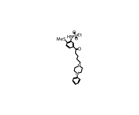 CCS(=O)(=O)Nc1cc(C(=O)CCCCN2CCN(c3ccccc3)CC2)ccc1SC